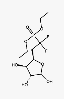 CCOP(=O)(OCC)C(F)(F)C[C@H]1OC(O)[C@H](O)[C@H]1O